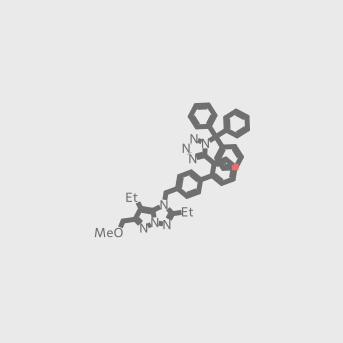 CCc1c(COC)nn2nc(CC)n(Cc3ccc(-c4ccccc4-c4nnnn4C(c4ccccc4)(c4ccccc4)c4ccccc4)cc3)c12